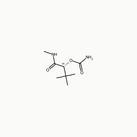 CNC(=O)[C@H](OC(N)=O)C(C)(C)C